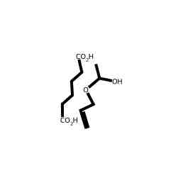 C=CCOC(C)O.O=C(O)CCCCC(=O)O